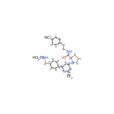 N#Cc1ccc(CCNC(=O)C2CCCN2c2cc(-c3ccc(CNC(=O)O)cc3)nc(C(F)(F)F)n2)cc1